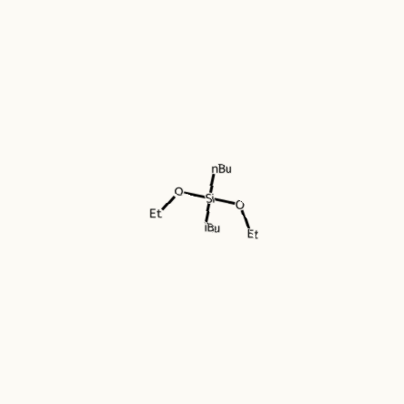 CCCC[Si](OCC)(OCC)C(C)CC